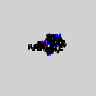 Cc1c(F)cccc1Nc1c(-c2ccncc2OCC2OCC2(C)C)[nH]c2c1C(=O)NCC21CC1